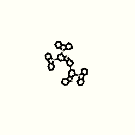 c1ccc2c(c1)sc1c(-n3c4ccccc4c4ccccc43)cc(-c3ccc4oc5c(-n6c7ccccc7c7ccccc76)cc(-n6c7ccccc7c7ccccc76)cc5c4c3)cc12